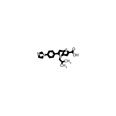 CC(C)Cn1c(-c2ccc(-n3ccnc3)cc2)cc2sc(C(=O)O)cc21